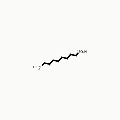 O=C(O)CCCCCCCCS(=O)(=O)O